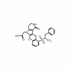 Cc1c(Cc2ccccc2S(=O)(=O)N(C)Cc2ccccc2)c2c(n1CC(=O)O)CCNC2=O